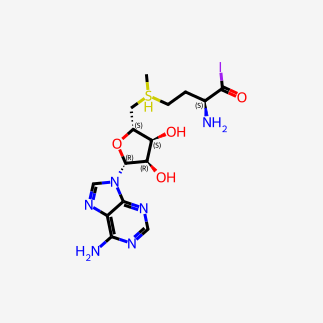 C[SH](CC[C@H](N)C(=O)I)C[C@H]1O[C@@H](n2cnc3c(N)ncnc32)[C@H](O)[C@@H]1O